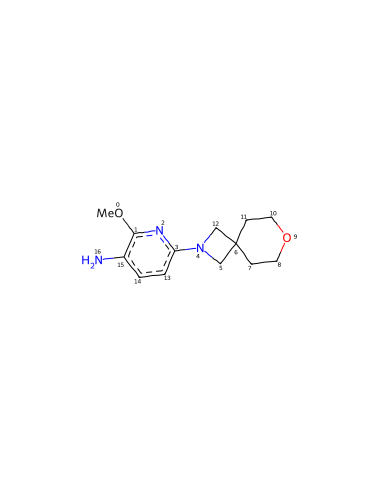 COc1nc(N2CC3(CCOCC3)C2)ccc1N